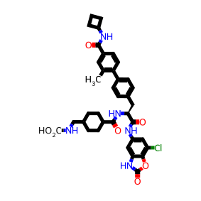 Cc1cc(C(=O)NC2CCC2)ccc1-c1ccc(C[C@H](NC(=O)C2CCC(CNC(=O)O)CC2)C(=O)Nc2cc(Cl)c3oc(=O)[nH]c3c2)cc1